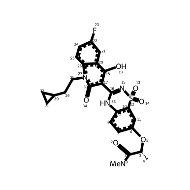 CNC(=O)[C@@H](C)Oc1ccc2c(c1)S(=O)(=O)N=C(c1c(O)c3cc(F)ccc3n(CCC3CC3)c1=O)N2